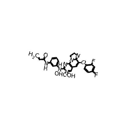 C=CC(=O)Nc1cccc(Nc2ncc3c(n2)N2CCN=C2C(Oc2ccc(F)cc2F)=C3)c1.O=CO